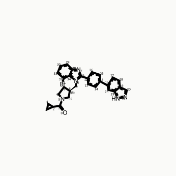 O=C(C1CC1)N1CC[C@@H](Cn2c(-c3ccc(-c4ccc5cn[nH]c5c4)cc3)nc3cccc(Br)c32)C1